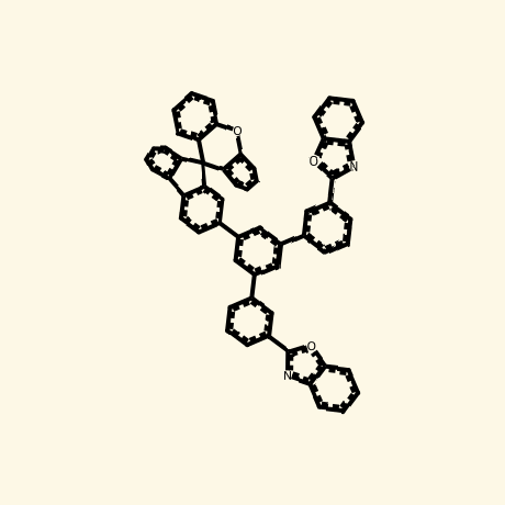 c1cc(-c2cc(-c3cccc(-c4nc5ccccc5o4)c3)cc(-c3ccc4c(c3)C3(c5ccccc5Oc5ccccc53)c3ccccc3-4)c2)cc(-c2nc3ccccc3o2)c1